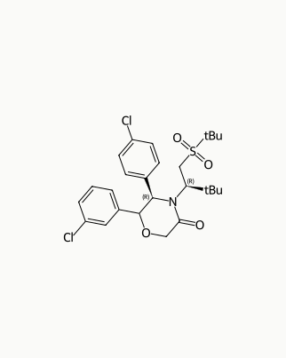 CC(C)(C)[C@H](CS(=O)(=O)C(C)(C)C)N1C(=O)COC(c2cccc(Cl)c2)[C@H]1c1ccc(Cl)cc1